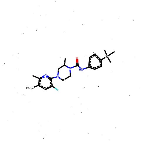 Cc1nc(N2CCN(C(=O)Nc3ccc([Si](C)(C)C)cc3)C(C)C2)c(F)cc1C(=O)O